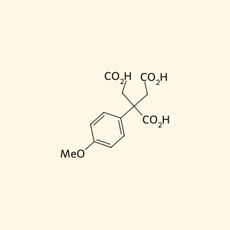 COc1ccc(C(CC(=O)O)(CC(=O)O)C(=O)O)cc1